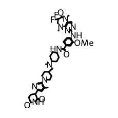 COc1cc(C(=O)NC2CCC(N(C)CC3CCN(c4cnc(C5CCC(=O)NC5=O)cc4C)CC3)CC2)ccc1Nc1ncc2c(n1)N(C)CC(F)(F)C(=O)N2C